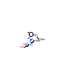 COCCSNC1CCC(C)CC(N(C)c2nc(Nc3cc(CO)[nH]n3)cc(OC)n2)C1